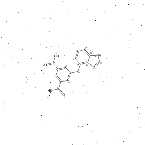 CNC(=O)c1cc(C(=O)O)cc(Cc2ccnc3[nH]ccc23)n1